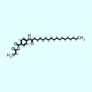 CCCCCCCCCCCCCCCCCC(=O)Nc1ccc(C(=O)OC(=O)CN)cc1